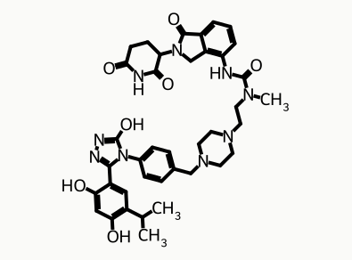 CC(C)c1cc(-c2nnc(O)n2-c2ccc(CN3CCN(CCN(C)C(=O)Nc4cccc5c4CN(C4CCC(=O)NC4=O)C5=O)CC3)cc2)c(O)cc1O